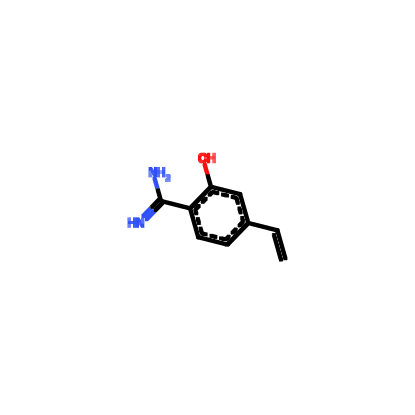 C=Cc1ccc(C(=N)N)c(O)c1